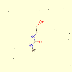 CC(C)NC(=O)NCCO